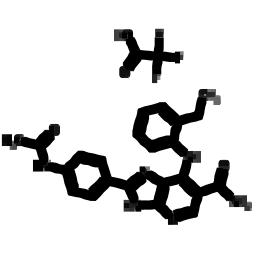 CCc1ccccc1Nc1c(C(N)=O)cnc2[nH]c(-c3ccc(NC(C)=O)cc3)nc12.O=C(O)C(F)(F)F